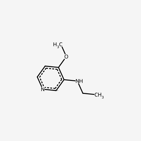 CCNc1[c]nccc1OC